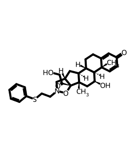 C[C@]12C=CC(=O)C=C1CC[C@@H]1[C@@H]2[C@@H](O)C[C@@]2(C)[C@H]1C[C@H]1CN(CCSc3ccccc3)O[C@]12C(=O)CO